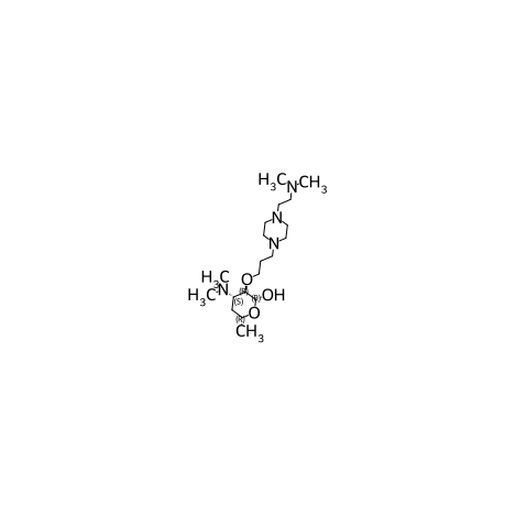 C[C@@H]1C[C@H](N(C)C)[C@@H](OCCCN2CCN(CCN(C)C)CC2)[C@H](O)O1